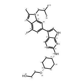 Cc1nc2c(F)cc(-c3c[nH]c4nc(N[C@H]5CC[C@@H](OCCO)CC5)ncc34)cc2n1CC(F)F